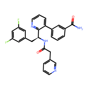 NC(=O)c1cccc(-c2cccnc2[C@H](Cc2cc(F)cc(F)c2)NC(=O)Cc2cccnc2)c1